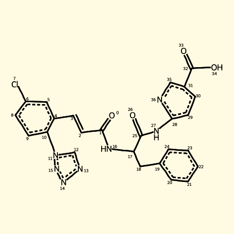 O=C(C=Cc1cc(Cl)ccc1-n1cnnn1)NC(Cc1ccccc1)C(=O)Nc1ccc(C(=O)O)cn1